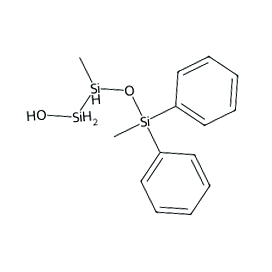 C[SiH](O[Si](C)(c1ccccc1)c1ccccc1)[SiH2]O